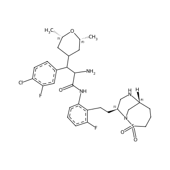 C[C@@H]1CC(C(c2ccc(Cl)c(F)c2)C(N)C(=O)Nc2cccc(F)c2CC[C@H]2CN[C@@H]3CCCS(=O)(=O)N2C3)C[C@H](C)O1